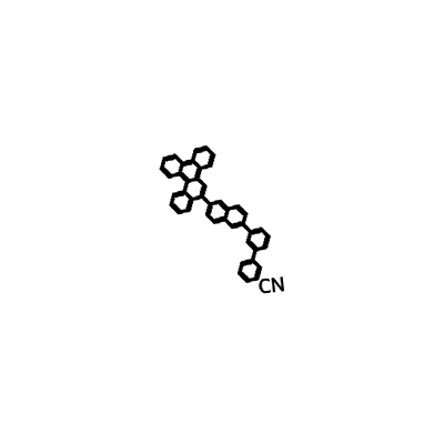 N#Cc1cccc(-c2cccc(-c3ccc4cc(-c5cc6c7ccccc7c7ccccc7c6c6ccccc56)ccc4c3)c2)c1